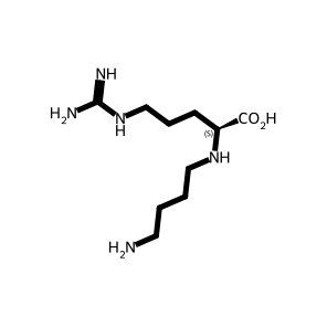 N=C(N)NCCC[C@H](NCCCCN)C(=O)O